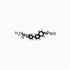 C=CC(=O)NCc1ccc(-c2ccc3c(c2)CCC(CCCCC)C3)cc1